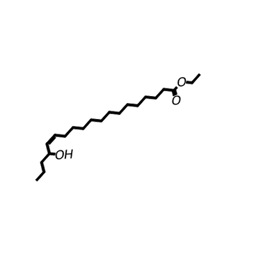 CCCC(O)/C=C\CCCCCCCCCCCCC(=O)OCC